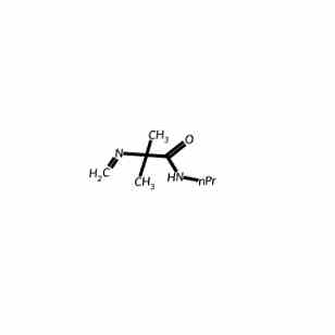 C=NC(C)(C)C(=O)NCCC